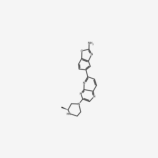 C[C@H]1CN(c2cnc3ccc(-c4ccc5oc(N)nc5c4)nc3n2)CCN1